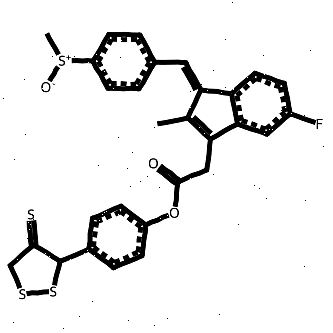 CC1=C(CC(=O)Oc2ccc(C3SSCC3=S)cc2)c2cc(F)ccc2C1=Cc1ccc([S+](C)[O-])cc1